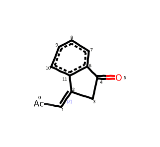 CC(=O)/C=C1/CC(=O)c2ccccc21